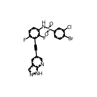 O=S(=O)(Nc1ccc(F)c(C#Cc2cnc3[nH]ncc3c2)c1F)c1ccc(Br)c(Cl)c1